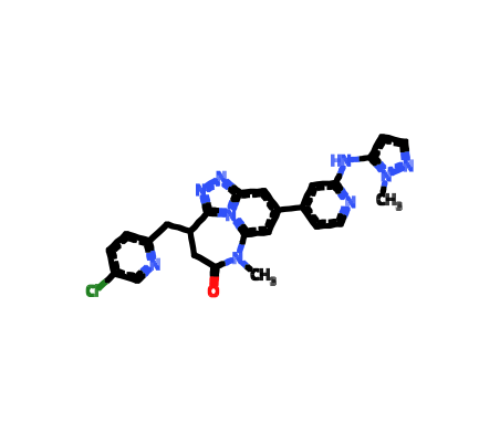 CN1C(=O)CC(Cc2ccc(Cl)cn2)c2nnc3cc(-c4ccnc(Nc5ccnn5C)c4)cc1n23